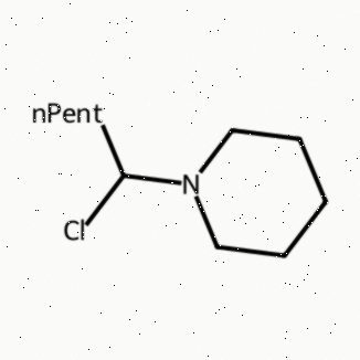 CCCCCC(Cl)N1CCCCC1